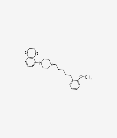 COc1ccccc1CCCCCN1CCN(c2cccc3c2OCCO3)CC1